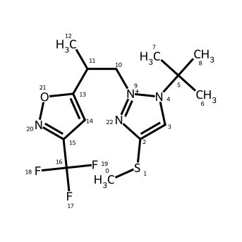 CSc1cn(C(C)(C)C)[n+](CC(C)c2cc(C(F)(F)F)no2)n1